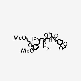 COCCCOc1cc(C[C@@H](C[C@H](N)[C@@H](O)C[C@H](C(=O)Nc2ccc3c(c2)OCCO3)C(C)C)C(C)C)ccc1OC